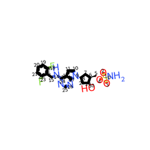 NS(=O)(=O)OC[C@@H]1C[C@@H](n2ccc3c(NCc4c(F)cccc4F)ncnc32)C[C@@H]1O